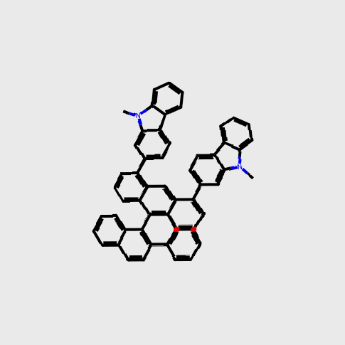 Cn1c2ccccc2c2ccc(-c3cccc4c(-c5c(-c6ccccc6)ccc6ccccc56)c5cccc(-c6ccc7c8ccccc8n(C)c7c6)c5cc34)cc21